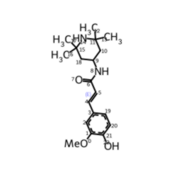 COc1cc(/C=C/C(=O)NC2CC(C)(C)NC(C)(C)C2)ccc1O